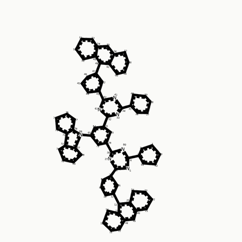 c1ccc(-c2nc(-c3cccc(-c4c5ccccc5cc5ccccc45)c3)nc(-c3cc(-c4nc(-c5ccccc5)nc(-c5cccc(-c6c7ccccc7cc7ccccc67)c5)n4)cc(-n4c5ccccc5c5ccccc54)c3)n2)cc1